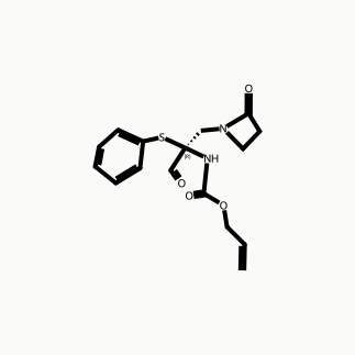 C=CCOC(=O)N[C@](C=O)(CN1CCC1=O)Sc1ccccc1